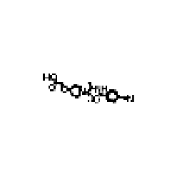 CC(NC(=O)c1ccc(C#N)cc1)C(=O)N1CCC(OCC(=O)O)CC1